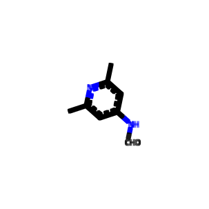 Cc1cc(NC=O)cc(C)n1